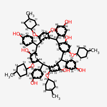 CC1CCC(Oc2cc(O)c3cc2C(c2ccc(O)cc2)c2cc(c(OC4CCC(C)CC4)cc2O)C(c2ccc(O)cc2)c2cc(c(O)cc2OC2CCC(C)CC2)C(c2ccc(O)cc2)c2cc(c(O)cc2OC2CCC(C)CC2)C3c2ccc(O)cc2)CC1